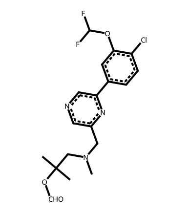 CN(Cc1cncc(-c2ccc(Cl)c(OC(F)F)c2)n1)CC(C)(C)OC=O